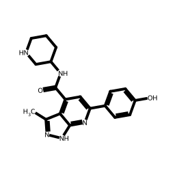 Cc1n[nH]c2nc(-c3ccc(O)cc3)cc(C(=O)NC3CCCNC3)c12